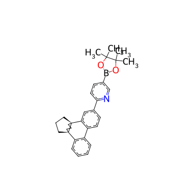 CC1(C)OB(c2ccc(-c3ccc4c(c3)[C@]35CCC[C@]3(CCC5)c3ccccc3-4)nc2)OC1(C)C